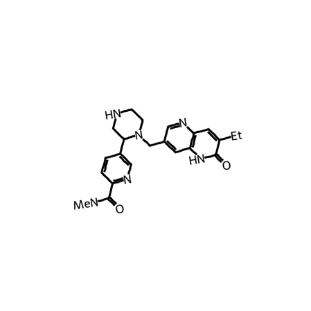 CCc1cc2ncc(CN3CCNCC3c3ccc(C(=O)NC)nc3)cc2[nH]c1=O